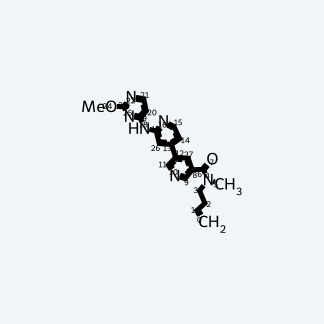 C=CCCN(C)C(=O)c1cncc(-c2ccnc(Nc3ccnc(OC)n3)c2)c1